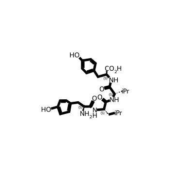 CC(C)C[C@H](NC(=O)[C@@H](N)Cc1ccc(O)cc1)C(=O)N[C@H](C(=O)N[C@@H](Cc1ccc(O)cc1)C(=O)O)C(C)C